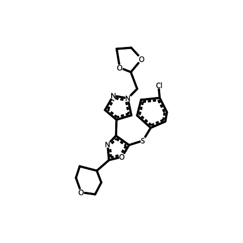 Clc1ccc(Sc2oc(C3CCOCC3)nc2-c2cnn(CC3OCCO3)c2)cc1